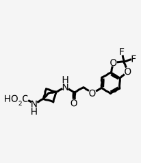 O=C(O)NC12CC(NC(=O)COc3ccc4c(c3)OC(F)(F)O4)(C1)C2